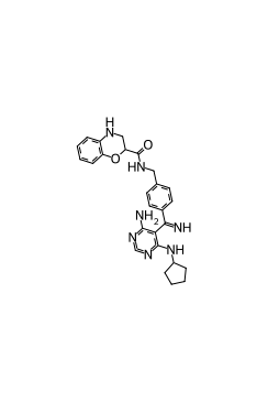 N=C(c1ccc(CNC(=O)C2CNc3ccccc3O2)cc1)c1c(N)ncnc1NC1CCCC1